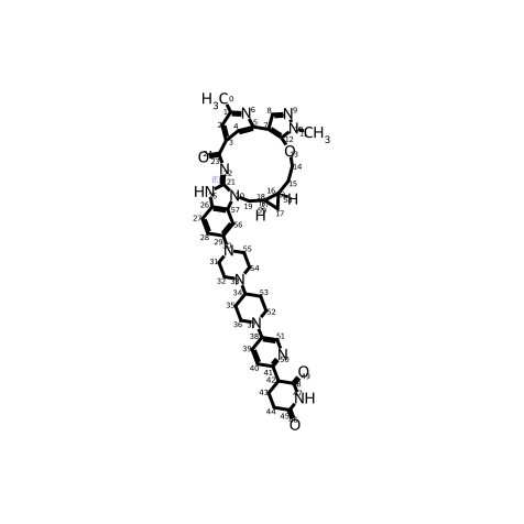 Cc1cc2cc(n1)-c1cnn(C)c1OCC[C@@H]1C[C@H]1CN1/C(=N/C2=O)Nc2ccc(N3CCN(C4CCN(c5ccc(C6CCC(=O)NC6=O)nc5)CC4)CC3)cc21